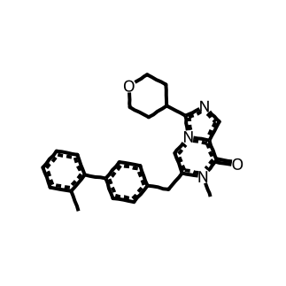 Cc1ccccc1-c1ccc(Cc2cn3c(C4CCOCC4)ncc3c(=O)n2C)cc1